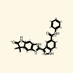 CC1(C)C(=O)Nc2cc3[nH]c(-c4n[nH]c5ccc(C(=O)Nc6ccccc6)cc45)nc3cc21